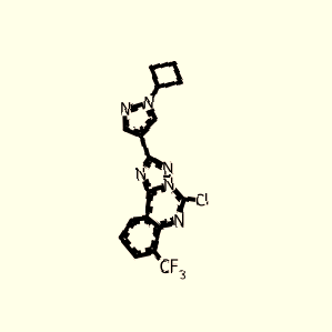 FC(F)(F)c1cccc2c1nc(Cl)n1nc(-c3cnn(C4CCC4)c3)nc21